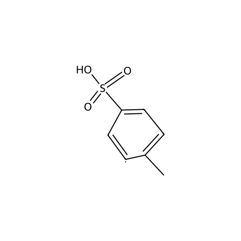 Cc1[c]cc(S(=O)(=O)O)cc1